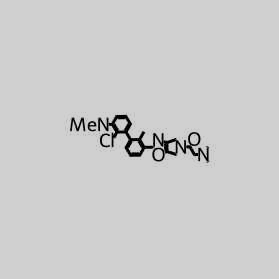 CNc1cccc(-c2cccc(-c3nc4c(o3)CN(C(=O)CN(C)C)C4)c2C)c1Cl